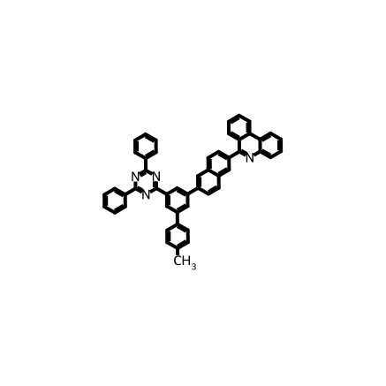 Cc1ccc(-c2cc(-c3ccc4cc(-c5nc6ccccc6c6ccccc56)ccc4c3)cc(-c3nc(-c4ccccc4)nc(-c4ccccc4)n3)c2)cc1